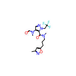 Cc1cc(CCCN(C)C(=O)c2c(N(C)C=O)cnn2CC(F)(F)F)on1